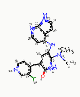 CN(C)c1[nH]c(=O)c(-c2ccncc2F)cc1Nc1ccnc2[nH]ccc12